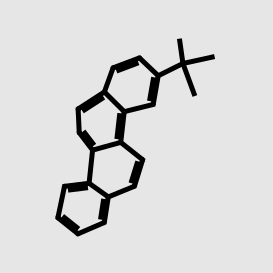 CC(C)(C)c1ccc2ccc3c4ccccc4ccc3c2c1